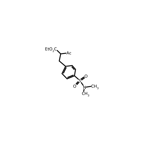 CCOC(=O)C(Cc1ccc(S(=O)(=O)N(C)C)cc1)C(C)=O